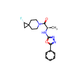 C[C@@H](Nc1nnc(-c2ccccc2)o1)C(=O)N1CCC2(CC1)C[C@@H]2F